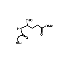 CCCCOC(=O)NC(C=O)CCC(=O)OC